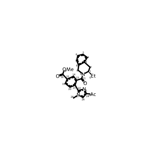 CC[C@@H]1Cc2ccccc2CN1C(=O)c1cc(C(=O)OC)ccc1-c1nc(C(C)=O)cn1C